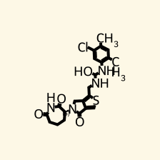 Cc1cc(C)c(NC(O)NCc2scc3c2CN([C@H]2CCCC(=O)NC2=O)C3=O)cc1Cl